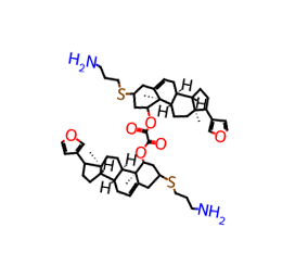 C[C@]12CC[C@@H]3[C@@H](CC=C4CC(SCCCN)CC(OC(=O)C(=O)OC5CC(SCCCN)CC6=CC[C@@H]7[C@@H](CC[C@]8(C)C(c9ccoc9)CC[C@@H]78)[C@]65C)[C@@]43C)[C@@H]1CCC2c1ccoc1